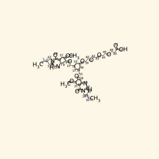 C/C=C1\C[C@H]2C=Nc3cc(OCc4cc(COc5cc6c(cc5OC)C(=O)N5C/C(=C/C)C[C@H]5C=N6)cc(OCCOCCOCCOCCC(=O)O)c4)c(OC)cc3C(=O)N2C1